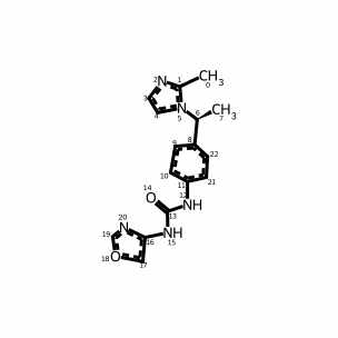 Cc1nccn1[C@@H](C)c1ccc(NC(=O)Nc2cocn2)cc1